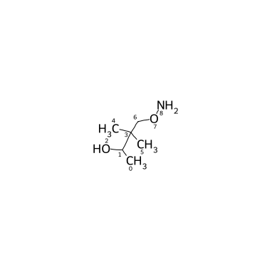 CC(O)C(C)(C)CON